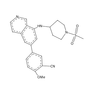 COc1ccc(-c2cc(NC3CCN(S(C)(=O)=O)CC3)c3cnccc3c2)cc1C#N